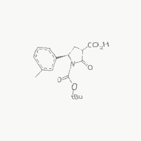 Cc1cccc([C@H]2CC(C(=O)O)C(=O)N2C(=O)OC(C)(C)C)c1